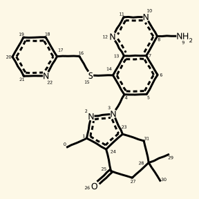 Cc1nn(-c2ccc3c(N)ncnc3c2SCc2ccccn2)c2c1C(=O)CC(C)(C)C2